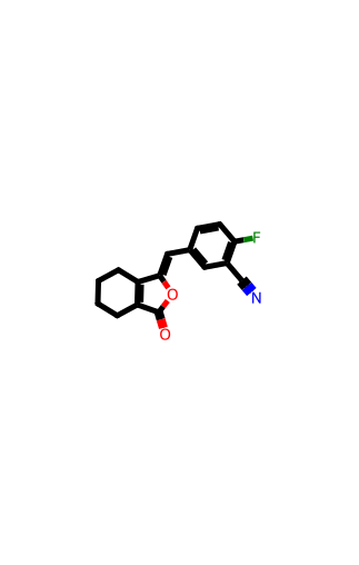 N#Cc1cc(C=C2OC(=O)C3=C2CCCC3)ccc1F